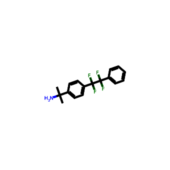 CC(C)(N)c1ccc(C(F)(F)C(F)(F)c2ccccc2)cc1